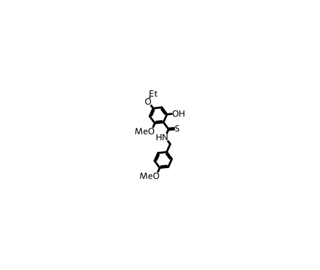 CCOc1cc(O)c(C(=S)NCc2ccc(OC)cc2)c(OC)c1